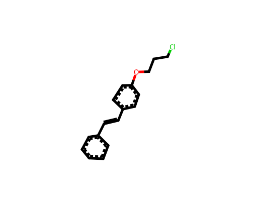 ClCCCOc1ccc(C=Cc2ccccc2)cc1